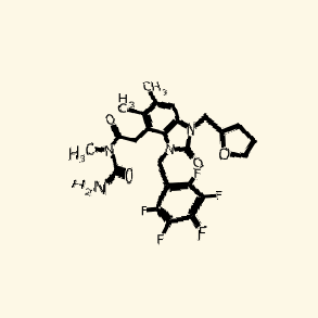 Cc1cc2c(c(CC(=O)N(C)C(N)=O)c1C)n(Cc1c(F)c(F)c(F)c(F)c1F)c(=O)n2CC1CCCO1